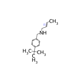 C/C=C/CNCc1ccc(C(C)(C)C)cc1